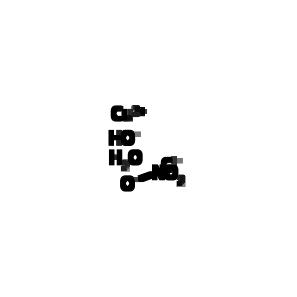 O.O=[N+]([O-])[O-].[Cl-].[Cu+3].[OH-]